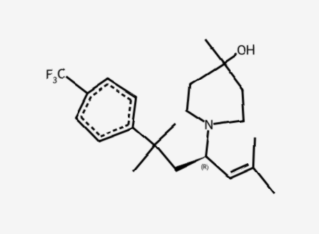 CC(C)=C[C@@H](CC(C)(C)c1ccc(C(F)(F)F)cc1)N1CCC(C)(O)CC1